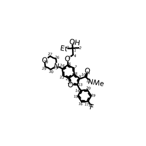 CCC(C)(O)COc1cc2c(C(=O)NC)c(-c3ccc(F)cc3)oc2cc1N1CCOCC1